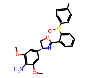 COc1cc([C@H]2COC(c3ccccc3[S@@+]([O-])c3ccc(C)cc3)=N2)cc(OC)c1N